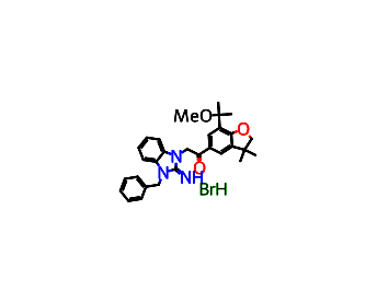 Br.COC(C)(C)c1cc(C(=O)Cn2c(=N)n(Cc3ccccc3)c3ccccc32)cc2c1OCC2(C)C